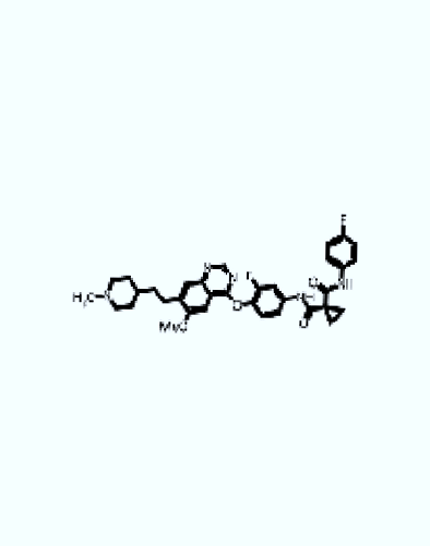 COc1cc2c(Oc3ccc(NC(=O)C4(C(=O)Nc5ccc(F)cc5)CC4)cc3F)ncnc2cc1CCC1CCN(C)CC1